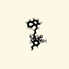 CCc1cccc(C(CCCCc2c(C)ccc3ccccc23)(OP(=O)(O)O)N(C)C)c1